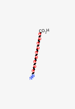 [N-]=[N+]=NCCOCCOCCOCCOCCOCCOCCOCCOCCOCC(=O)O